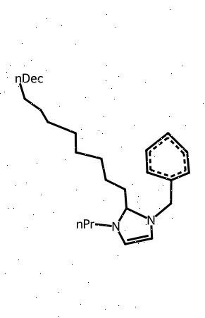 CCCCCCCCCCCCCCCCCCC1N(CCC)C=CN1Cc1ccccc1